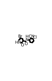 N#Cc1c(Cl)cccc1NC(=O)c1cc(Br)c[nH]c1=O